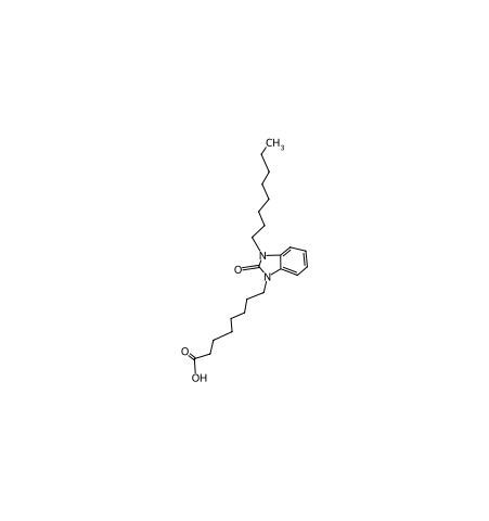 CCCCCCCCn1c(=O)n(CCCCCCCC(=O)O)c2ccccc21